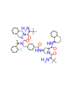 C[C@H](c1ccccc1F)N(Cc1ccc(C(=O)N[C@H]2C[C@@H](C(=O)N[C@@H]3CCCc4ccccc43)N(C(=O)[C@@H](N)C(C)(C)C)C2)cc1)C(=O)[C@@H]1Cc2ccccc2CN1C(=O)[C@@H](N)C(C)(C)C